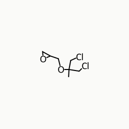 CC(CCl)(CCl)OCC1CO1